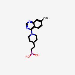 CC(C)COc1ccc2c(N3CCC(CCP(O)O)CC3)ncnc2c1